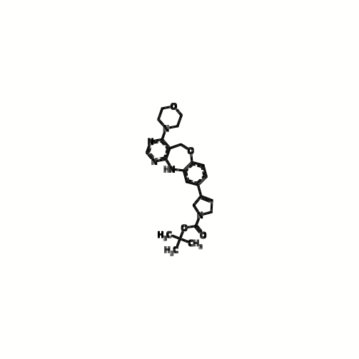 CC(C)(C)OC(=O)N1CC=C(c2ccc3c(c2)Nc2ncnc(N4CCOCC4)c2CO3)C1